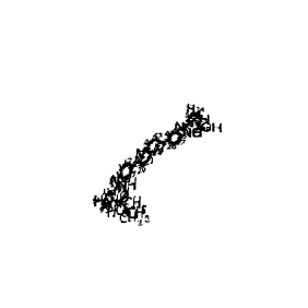 CC(C)(C)OC(=O)N1[C@@H]2C[C@@H]2C[C@H]1c1nc2ccc(-c3ccc4nc(-c5ccc6[nH]c([C@@H]7C[C@H]8C[C@H]8N7C(=O)O)nc6c5)ccc4n3)cc2[nH]1